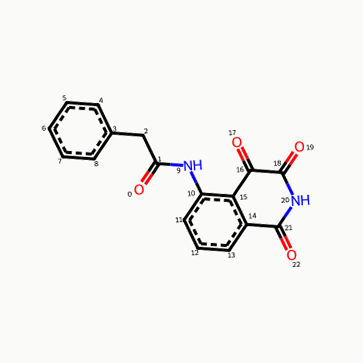 O=C(Cc1ccccc1)Nc1cccc2c1C(=O)C(=O)NC2=O